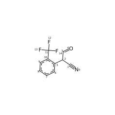 N#CC(C=O)c1ccccc1C(F)(F)F